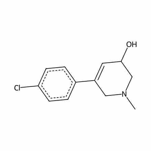 CN1CC(c2ccc(Cl)cc2)=CC(O)C1